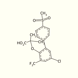 CC(C)(Oc1c(-c2ccc(S(C)(=O)=O)cc2)cc(Cl)cc1C(F)(F)F)C(=O)O